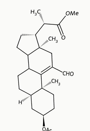 COC(=O)[C@@H](C)[C@H]1CCC2C3CC[C@@H]4C[C@H](OC(C)=O)CC[C@]4(C)C3=C(C=O)C[C@@]21C